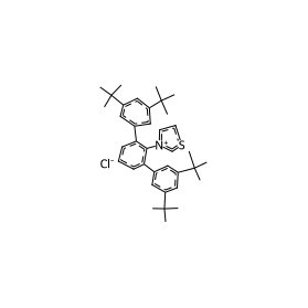 CC(C)(C)c1cc(-c2cccc(-c3cc(C(C)(C)C)cc(C(C)(C)C)c3)c2-[n+]2ccsc2)cc(C(C)(C)C)c1.[Cl-]